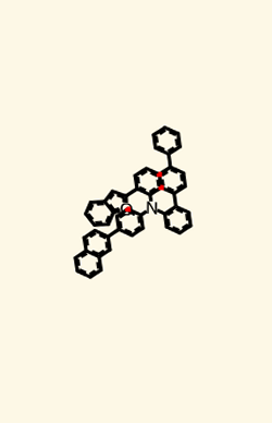 c1ccc(-c2ccc(-c3ccccc3N(c3ccc(-c4ccc5ccccc5c4)cc3)c3ccccc3-c3cc4ccccc4o3)cc2)cc1